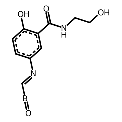 O=B/C=N/c1ccc(O)c(C(=O)NCCO)c1